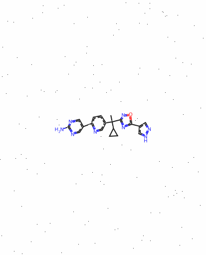 CC(c1ccc(-c2cnc(N)nc2)nc1)(c1noc(-c2cn[nH]c2)n1)C1CC1